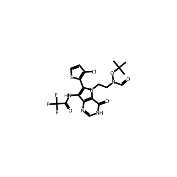 CC(C)(C)ON(C=O)CCn1c(-c2sccc2Cl)c(NC(=O)C(F)(F)F)c2nc[nH]c(=O)c21